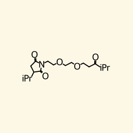 CC(C)C(=O)CCOCCOCCN1C(=O)CC(C(C)C)C1=O